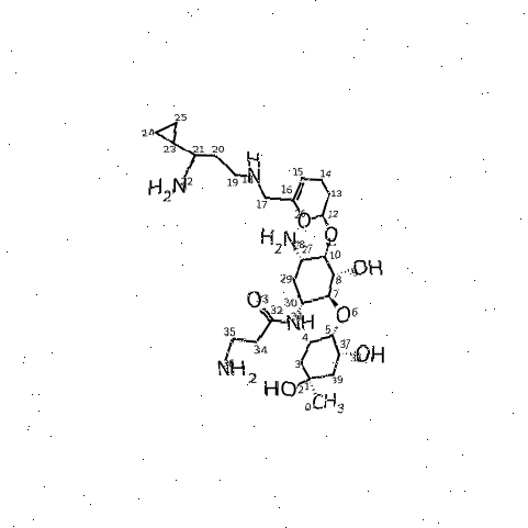 C[C@]1(O)CC[C@H](O[C@@H]2[C@@H](O)[C@H](O[C@@H]3CCC=C(CNCCC(N)C4CC4)O3)[C@@H](N)C[C@H]2NC(=O)CCN)[C@H](O)C1